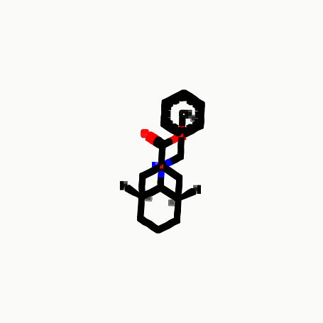 COC(=O)C1C[C@H]2CCC[C@@H](C1)C2NCc1ccccc1